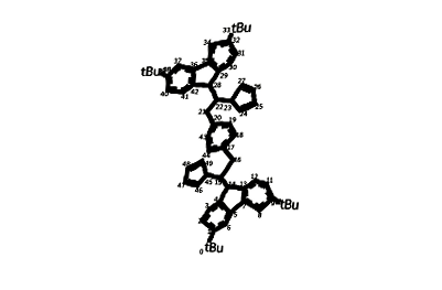 CC(C)(C)c1ccc2c(c1)-c1cc(C(C)(C)C)ccc1C2C(Cc1ccc(CC(C2C=CC=C2)C2c3ccc(C(C)(C)C)cc3-c3cc(C(C)(C)C)ccc32)cc1)C1C=CC=C1